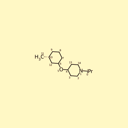 CC(C)N1CCC(OC2CCC[C@@H](C)C2)CC1